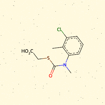 Cc1c(Cl)cccc1N(C)C(=O)SCC(=O)O